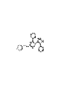 c1ccc(CCc2ncc(-c3nnnn3-c3ccccc3)c(-c3ccccc3)n2)cc1